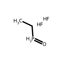 CC[PH2]=O.F.F